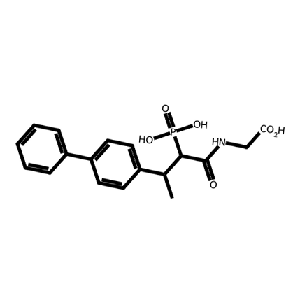 CC(c1ccc(-c2ccccc2)cc1)C(C(=O)NCC(=O)O)P(=O)(O)O